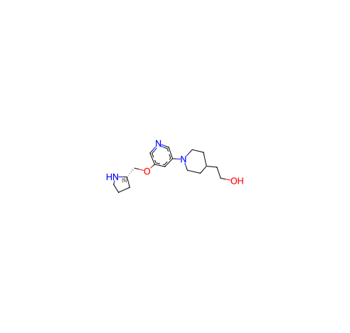 OCCC1CCN(c2cncc(OC[C@@H]3CCCN3)c2)CC1